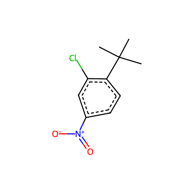 CC(C)(C)c1ccc([N+](=O)[O-])cc1Cl